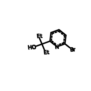 CCC(O)(CC)c1cccc(Br)n1